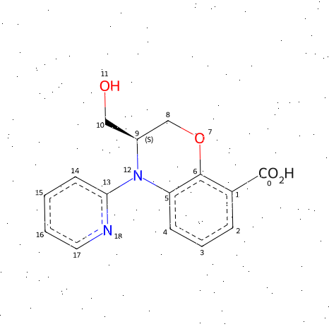 O=C(O)c1cccc2c1OC[C@H](CO)N2c1ccccn1